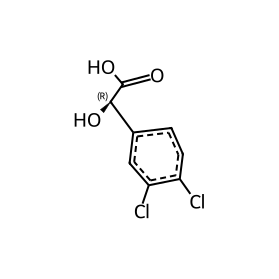 O=C(O)[C@H](O)c1ccc(Cl)c(Cl)c1